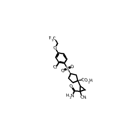 N#CC1(C(N)=O)CC1[C@]1(C(=O)O)CC[C@@H](S(=O)(=O)c2ccc(OCC(F)(F)F)cc2Cl)C1